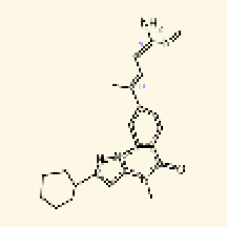 C=N/C(N)=C\C=C(/C)c1ccc2c(=O)n(C)c3cc(C4CCCCC4)nn3c2c1